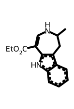 CCOC(=O)C1=CNC(C)Cc2c1[nH]c1ccccc21